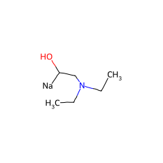 CCN(CC)C[CH](O)[Na]